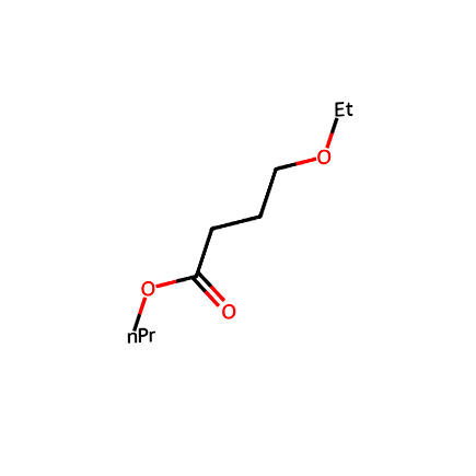 CCCOC(=O)CCCOCC